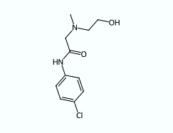 CN(CCO)CC(=O)Nc1ccc(Cl)cc1